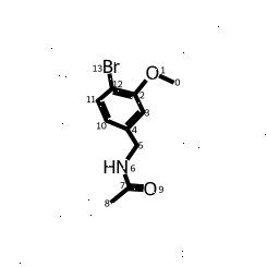 COc1cc(CNC(C)=O)ccc1Br